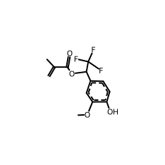 C=C(C)C(=O)OC(c1ccc(O)c(OC)c1)C(F)(F)F